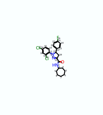 O=C(NC1CCCCCC1)C1=NN(c2ccc(Cl)cc2Cl)C(c2ccc(F)cc2)C1